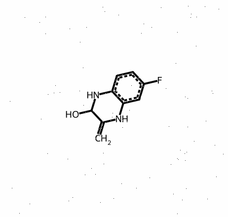 C=C1Nc2cc(F)ccc2NC1O